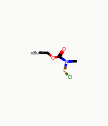 CCCCCOC(=O)N(C)SCl